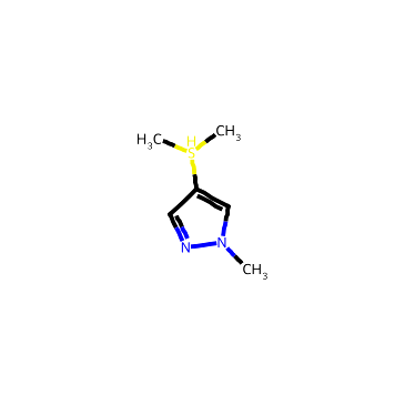 Cn1cc([SH](C)C)cn1